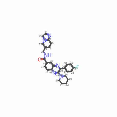 O=C(NCc1ccc2nccn2c1)c1ccc2nc(N3CCCCC3)c(-c3ccc(F)cc3)nc2c1